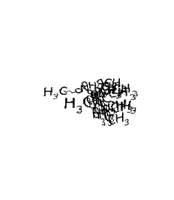 CCCCc1ccc(N(c2ccccc2)c2ccc3c(c2)-c2cc4c(c5c2B(c2cc6sc7cc8c(cc7c6cc2N5c2cc5c(cc2C)C(C)(C)CCC5(C)C)C(C)(C)CCC8(C)C)N3c2ccc3c(c2)C(C)(C)CCC3(C)C)C(C)(C)c2ccccc2-4)cc1